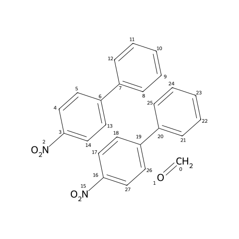 C=O.O=[N+]([O-])c1ccc(-c2ccccc2)cc1.O=[N+]([O-])c1ccc(-c2ccccc2)cc1